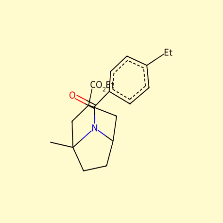 CCOC(=O)C1CC2CCC(C)(C1)N2C(=O)c1ccc(CC)cc1